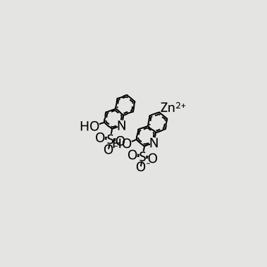 O=S(=O)([O-])c1nc2ccccc2cc1O.O=S(=O)([O-])c1nc2ccccc2cc1O.[Zn+2]